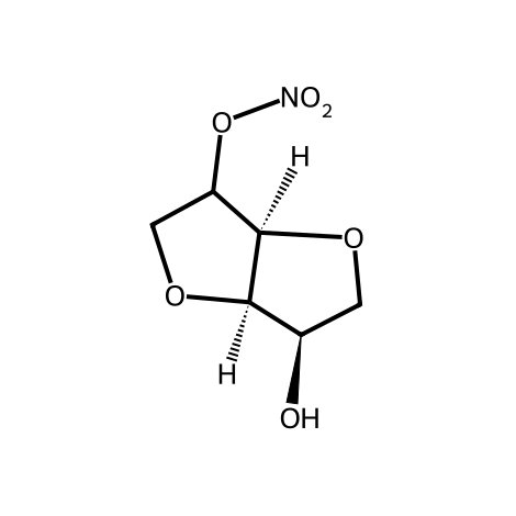 O=[N+]([O-])OC1CO[C@@H]2[C@H](O)CO[C@H]12